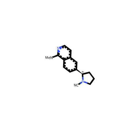 CNc1nccc2cc([C@H]3CCCN3C#N)ccc12